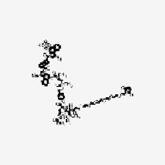 CC(C)[C@H](NC(=O)CCOCCOCCOCCOCCOCCOCCN1C(=O)C=CC1=O)C(=O)N[C@@H](CCCNC(N)=O)C(=O)Nc1ccc(COC(=O)N(C)CCN(C)C(=O)Oc2cc3c(c4ccccc24)[C@H](CCl)CN3C(=O)C23C4C5C2C2C3C4C52C(=O)N2C[C@@H](CCl)c3c2cc(OP(=O)(O)O)c2ccccc32)cc1